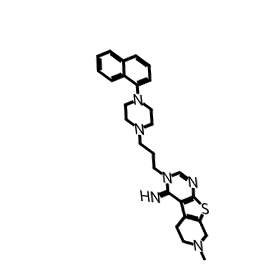 CN1CCc2c(sc3ncn(CCCN4CCN(c5cccc6ccccc56)CC4)c(=N)c23)C1